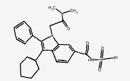 CCCS(=O)(=O)NC(=O)c1ccc2c(C3CCCCC3)c(-c3ccccc3)n(CC(=O)N(C)C)c2c1